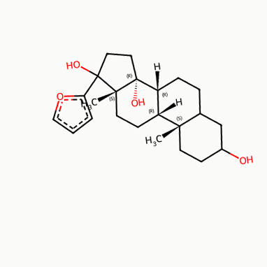 C[C@]12CCC(O)CC1CC[C@@H]1[C@H]2CC[C@]2(C)C(O)(c3ccco3)CC[C@@]12O